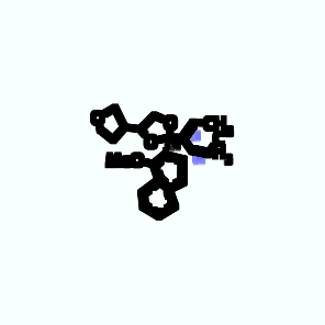 C/C=C\C(=C/C)[C@]1(c2ccc3ccccc3c2OC)OCC(C2CCOC2)O1